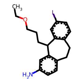 CCOCCCC1c2cc(N)ccc2CCc2ccc(I)cc21